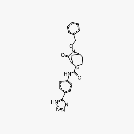 O=C(Nc1ccc(-c2nnn[nH]2)cc1)[C@@H]1CCC2CN1C(=O)N2OCc1ccccc1